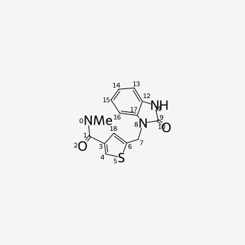 CNC(=O)c1csc(Cn2c(=O)[nH]c3ccccc32)c1